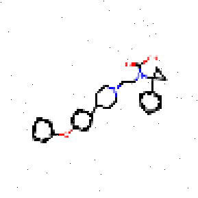 O=C(O)N(CCN1CCC(c2ccc(Oc3ccccc3)cc2)CC1)C1(c2ccccc2)CC1